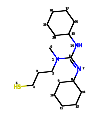 CN(CCCS)/C(=N\C1CCCCC1)NC1CCCCC1